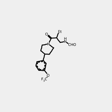 CCC(CNC=O)C(=O)N1CCC(c2cccc(OC(F)(F)F)c2)CC1